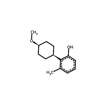 CO[C@H]1CC[C@@H](c2c(C)cccc2O)CC1